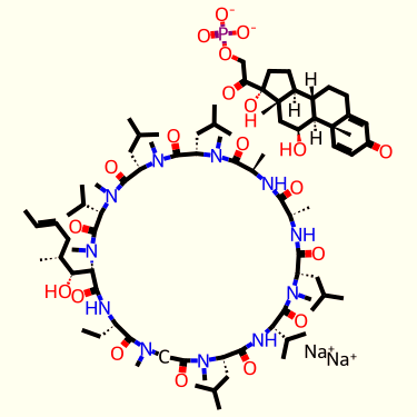 C/C=C/C[C@@H](C)[C@@H](O)[C@H]1C(=O)N[C@@H](CC)C(=O)N(C)CC(=O)N(C)[C@@H](CC(C)C)C(=O)N[C@@H](C(C)C)C(=O)N(C)[C@@H](CC(C)C)C(=O)N[C@@H](C)C(=O)N[C@H](C)C(=O)N(C)[C@@H](CC(C)C)C(=O)N(C)[C@@H](CC(C)C)C(=O)N(C)[C@@H](C(C)C)C(=O)N1C.C[C@]12C=CC(=O)C=C1CC[C@@H]1[C@@H]2[C@@H](O)C[C@@]2(C)[C@H]1CC[C@]2(O)C(=O)COP(=O)([O-])[O-].[Na+].[Na+]